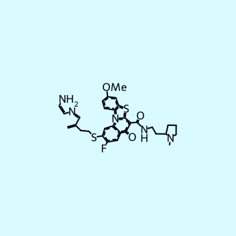 C=C(/C=N\C=C/N)CCSc1cc2c(cc1F)c(=O)c(C(=O)NCCC1CCCN1C)c1sc3cc(OC)ccc3n12